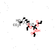 C=CC(=O)O.C=CC(=O)O.C=CC(=O)O.C=CC(=O)O.C=CC(=O)OCC(CO)(COC(=O)C=C)COC(=O)C=C